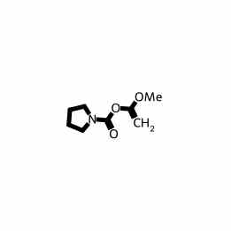 C=C(OC)OC(=O)N1CCCC1